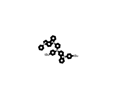 CC(C)(C)c1ccc(N(c2cccc(-n3c4ccccc4c4c5ccn(-c6ccccc6)c5ccc43)c2)c2ccc3c(c2)c2ccccc2n3-c2ccc(C(C)(C)C)cc2)cc1